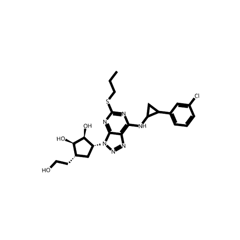 CCCSc1nc(NC2CC2c2cccc(Cl)c2)c2nnn([C@@H]3C[C@H](CCO)[C@@H](O)[C@H]3O)c2n1